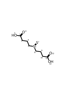 O=C(O)CCCS(=S)CCCC(=O)O